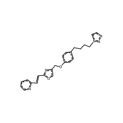 C(=C\c1nc(COc2ccc(CCCCn3ccnn3)cc2)co1)/c1ccccn1